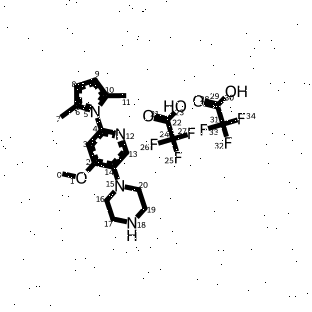 COc1cc(-n2c(C)ccc2C)ncc1N1CCNCC1.O=C(O)C(F)(F)F.O=C(O)C(F)(F)F